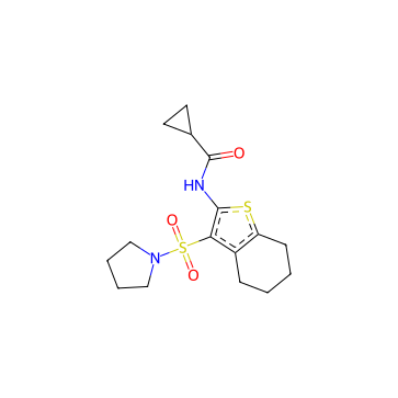 O=C(Nc1sc2c(c1S(=O)(=O)N1CCCC1)CCCC2)C1CC1